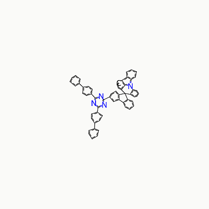 c1ccc(-c2ccc(-c3nc(-c4ccc(-c5ccccc5)cc4)nc(-c4ccc5c(c4)-c4ccccc4C54c5ccccc5-n5c6ccccc6c6cccc4c65)n3)cc2)cc1